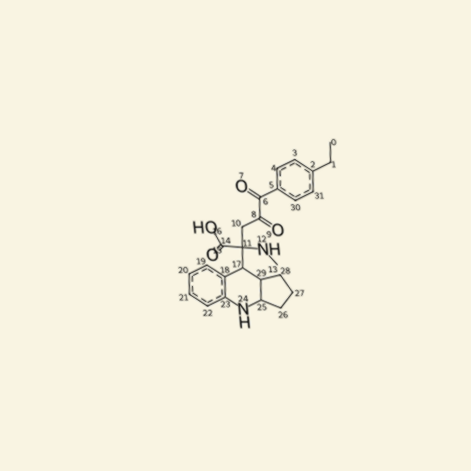 CCc1ccc(C(=O)C(=O)CC(NC)(C(=O)O)C2c3ccccc3NC3CCCC32)cc1